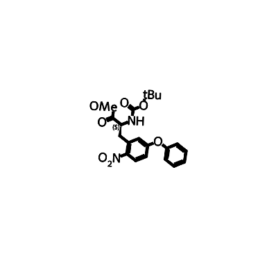 COC(=O)[C@H](Cc1cc(Oc2ccccc2)ccc1[N+](=O)[O-])NC(=O)OC(C)(C)C